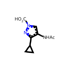 CC(=O)Nc1cn(C(=O)O)nc1C1CC1